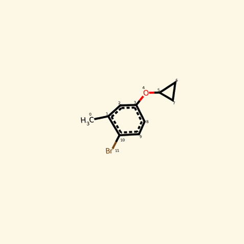 Cc1cc(OC2CC2)ccc1Br